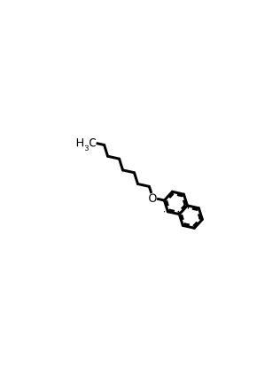 CCCCCCCCOc1[c]c2ccccc2cc1